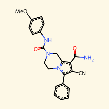 COc1ccc(NC(=O)N2CCn3c(c(C(N)=O)c(C#N)c3-c3ccccc3)C2)cc1